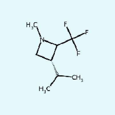 CC(C)[C@@H]1CN(C)C1C(F)(F)F